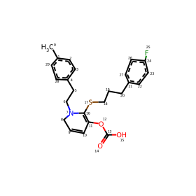 Cc1ccc(CCN2CC=CC(OC(=O)O)=C2SCCCc2ccc(F)cc2)cc1